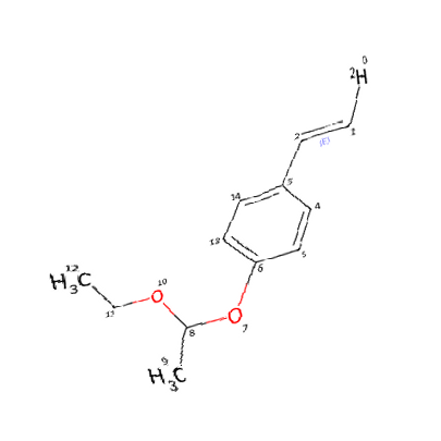 [2H]/C=C/c1ccc(OC(C)OCC)cc1